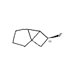 F[C@H]1CC23CCCC2C13